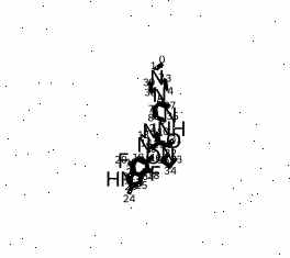 CCN1CCN(c2ccc(Nc3ncnc(Oc4cc(F)c5[nH]c(C)cc5c4F)c3C(=O)N3CCC3)nc2)CC1